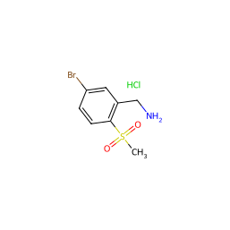 CS(=O)(=O)c1ccc(Br)cc1CN.Cl